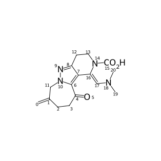 C=C1CCC(=O)c2c3c(nn2C1)CCN(C(=O)O)C3=CN(C)C